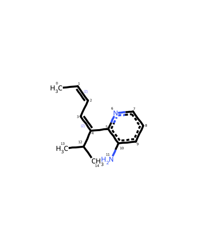 C/C=C\C=C(/c1ncccc1N)C(C)C